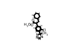 COC(=O)C(CC1CCCCC1)c1ccc(C2(C)N=NN=N2)c(Cl)c1